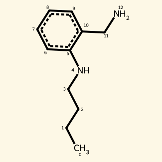 CCCCNc1ccccc1CN